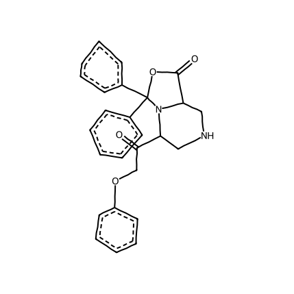 O=C(COc1ccccc1)C1CNCC2C(=O)OC(c3ccccc3)(c3ccccc3)N12